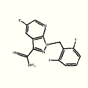 N=C(N)c1nn(Cc2c(F)cccc2F)c2ncc(F)cc12